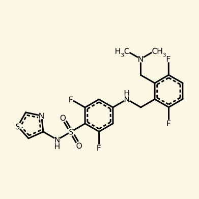 CN(C)Cc1c(F)ccc(F)c1CNc1cc(F)c(S(=O)(=O)Nc2cscn2)c(F)c1